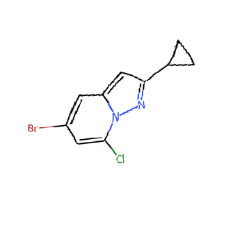 Clc1cc(Br)cc2cc(C3CC3)nn12